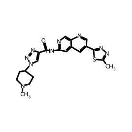 Cc1nnc(-c2cnc3cnc(NC(=O)c4cn(C5CCN(C)CC5)nn4)cc3c2)s1